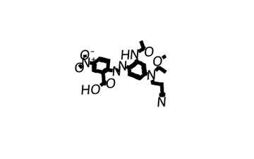 COC(C)N(CCC#N)c1ccc(N=Nc2ccc([N+](=O)[O-])cc2C(=O)O)c(NC(C)=O)c1